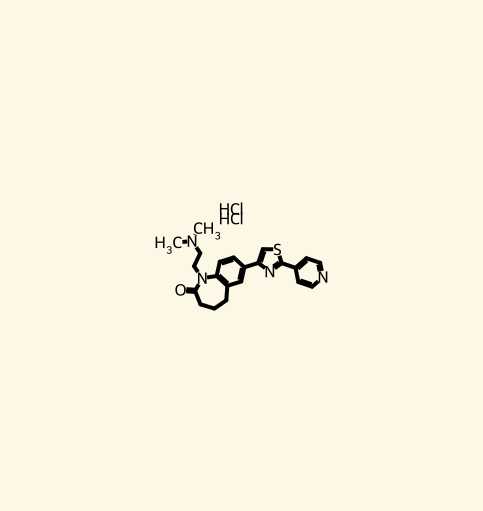 CN(C)CCN1C(=O)CCCc2cc(-c3csc(-c4ccncc4)n3)ccc21.Cl.Cl